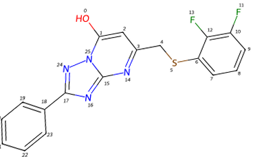 Oc1cc(CSc2cccc(F)c2F)nc2nc(-c3ccccc3)nn12